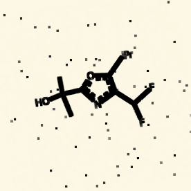 CC(C)c1oc(C(C)(C)O)nc1C(F)F